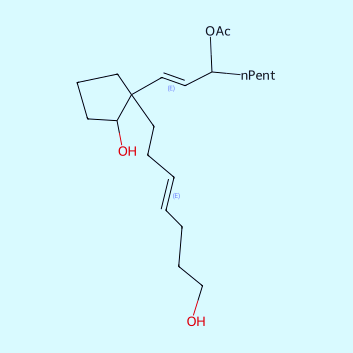 CCCCCC(/C=C/C1(CC/C=C/CCCO)CCCC1O)OC(C)=O